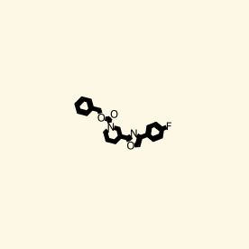 O=C(OCc1ccccc1)N1CCCC(c2nc(-c3ccc(F)cc3)co2)C1